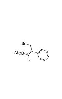 CON(C)C(CBr)c1ccccc1